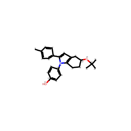 Cc1ccc(-c2cc3c(n2-c2ccc(O)cc2)CCC(OC(C)(C)C)C3)cc1